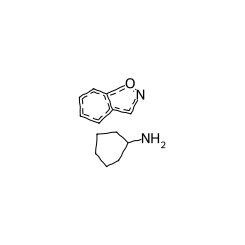 NC1CCCCC1.c1ccc2oncc2c1